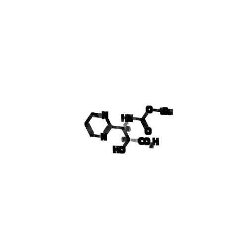 CC(C)(C)OC(=O)N[C@@H](c1ncccn1)[C@@H](O)C(=O)O